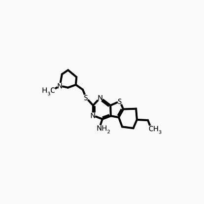 CCC1CCc2c(sc3nc(SCC4CCCN(C)C4)nc(N)c23)C1